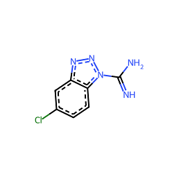 N=C(N)n1nnc2cc(Cl)ccc21